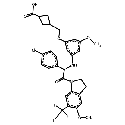 COc1cc(N[C@@H](C(=O)N2CCc3cc(OC)c(C(F)(F)F)cc32)c2ccc(Cl)cc2)cc(OCC2CC(C(=O)O)C2)c1